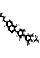 CCCCc1ccc2c(F)c(-c3cc(F)c(-c4cc(F)c(OC(F)F)c(F)c4)c(F)c3)ccc2c1